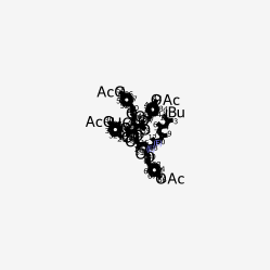 CCC(C)CC(C)CC(C)CC(C)/C=C(C)/C=C(\CC(C)C(=O)OC(C(=O)OCc1ccc(OC(C)=O)cc1)C(C(=O)OCc1ccc(OC(C)=O)cc1)C(O)C(=O)OCc1ccc(OC(C)=O)cc1)C(=O)OCc1ccc(OC(C)=O)cc1